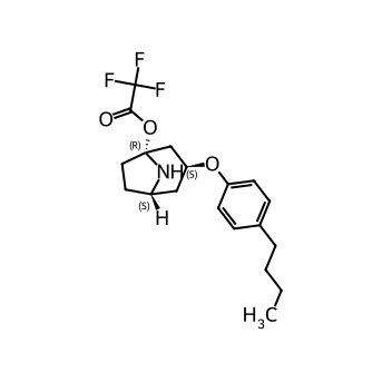 CCCCc1ccc(O[C@H]2C[C@@H]3CC[C@@](OC(=O)C(F)(F)F)(C2)N3)cc1